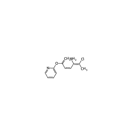 C=C(/C=C\C(N)=C(/C)Cl)Oc1ccccn1